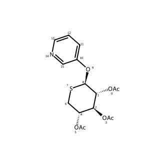 CC(=O)O[C@@H]1[C@@H](OC(C)=O)[C@H](OC(C)=O)CS[C@H]1Oc1cccnc1